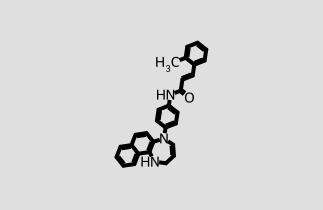 Cc1ccccc1C=CC(=O)Nc1ccc(N2C=CCNc3c2ccc2ccccc32)cc1